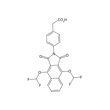 O=C(O)Cc1ccc(N2C(=O)c3c(c(OC(F)F)c4ccccc4c3OC(F)F)C2=O)cc1